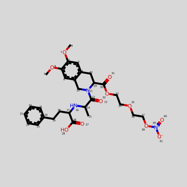 COc1cc2c(cc1OC)CN(C(=O)C(C)NC(CCc1ccccc1)C(=O)O)C(C(=O)OCCOCCO[N+](=O)[O-])C2